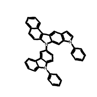 c1ccc(-n2ccc3cc4c5c6ccccc6ccc5n(-c5ccc6c(c5)c5ccccc5n6-c5ccccc5)c4cc32)cc1